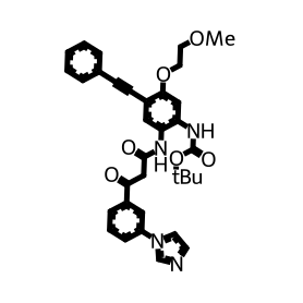 COCCOc1cc(NC(=O)OC(C)(C)C)c(NC(=O)CC(=O)c2cccc(-n3ccnc3)c2)cc1C#Cc1ccccc1